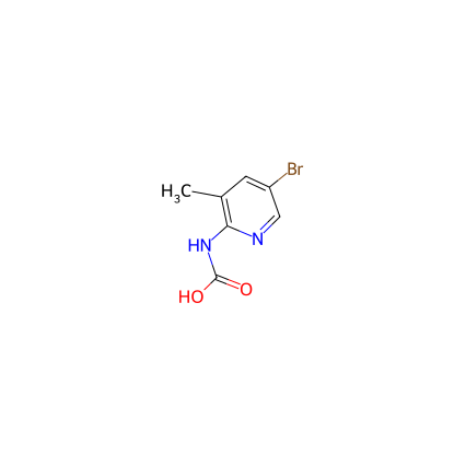 Cc1cc(Br)cnc1NC(=O)O